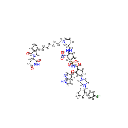 CC1(C)CCC(CN2CCN(c3ccc(C(=O)NS(=O)(=O)c4ccc(NCC5CCCN(CCCCCCCCc6cccc7c6CN(C6CCC(=O)NC6=O)C7=O)C5)c([N+](=O)[O-])c4)c(Oc4cnc5[nH]ccc5c4)c3)CC2)=C(c2ccc(Cl)cc2)C1